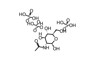 CC(=O)N[C@@H]1[C@@H](O)[C@H](O)[C@@H](CO)O[C@H]1O.O=S(=O)(O)O.O=S(=O)(O)O.O=S(=O)(O)O